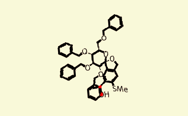 CSc1cc2c(cc1C(C)O)[C@]1(OC2)O[C@H](COCc2ccccc2)[C@@H](OCc2ccccc2)[C@H](OCc2ccccc2)[C@H]1OCc1ccccc1